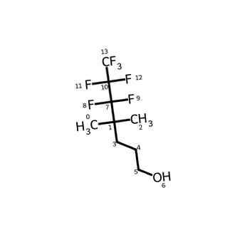 CC(C)(CCCO)C(F)(F)C(F)(F)C(F)(F)F